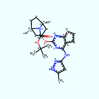 Cc1cc(Nc2nc(O[C@@H]3C[C@H]4CC[C@@H](C3)N4C(=O)OC(C)(C)C)nc3sccc23)n[nH]1